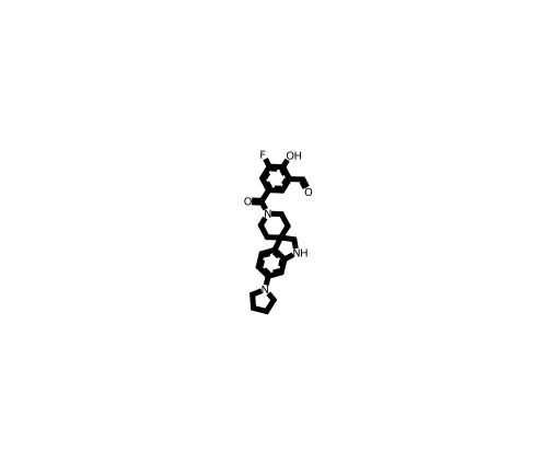 O=Cc1cc(C(=O)N2CCC3(CC2)CNc2cc(N4CCCC4)ccc23)cc(F)c1O